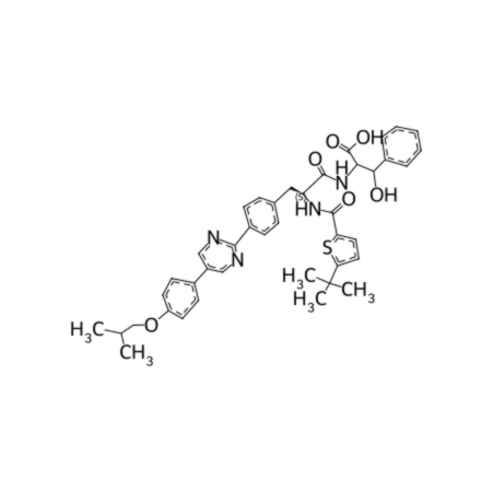 CC(C)COc1ccc(-c2cnc(-c3ccc(C[C@H](NC(=O)c4ccc(C(C)(C)C)s4)C(=O)NC(C(=O)O)C(O)c4ccccc4)cc3)nc2)cc1